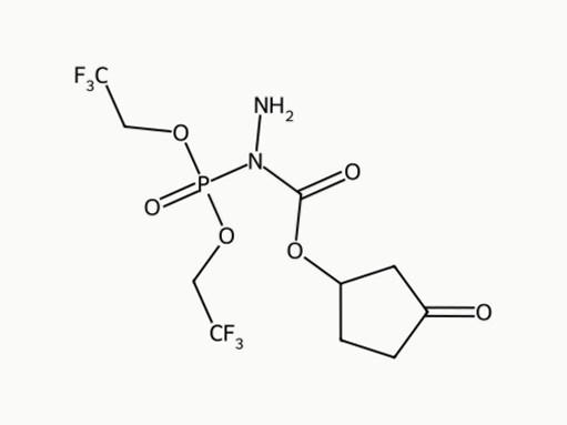 NN(C(=O)OC1CCC(=O)C1)P(=O)(OCC(F)(F)F)OCC(F)(F)F